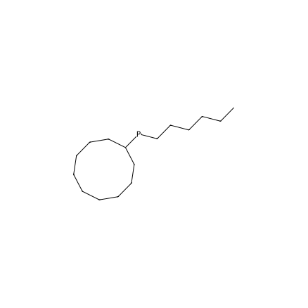 CCCCCC[P]C1CCCCCCCCC1